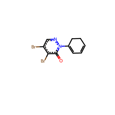 O=c1c(Br)c(Br)cnn1C1=CC=CCC1